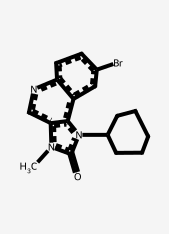 Cn1c(=O)n(C2CCCCC2)c2c3cc(Br)ccc3ncc21